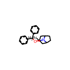 [AsH2]CN1C2CCC1CC(OC(c1ccccc1)c1ccccc1)C2